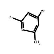 CC(=O)c1cc(C)nc(C(C)C)c1